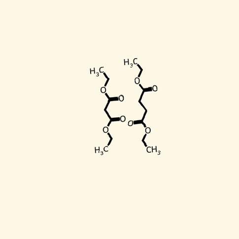 CCOC(=O)CC(=O)OCC.CCOC(=O)CCC(=O)OCC